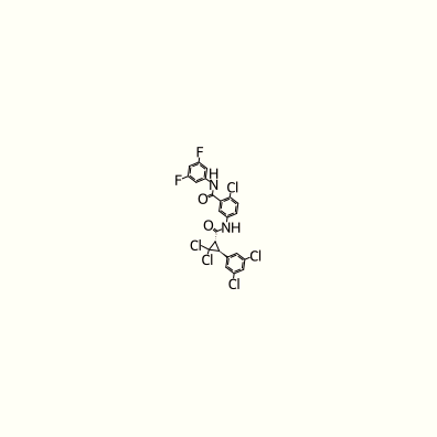 O=C(Nc1cc(F)cc(F)c1)c1cc(NC(=O)[C@@H]2[C@@H](c3cc(Cl)cc(Cl)c3)C2(Cl)Cl)ccc1Cl